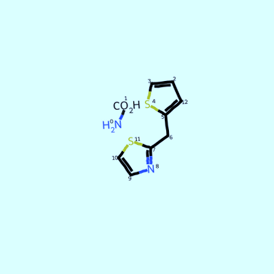 NC(=O)O.c1csc(Cc2nccs2)c1